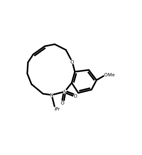 COc1ccc2c(c1)OCC/C=C\CCCCN(C(C)C)S2(=O)=O